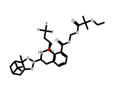 CCOC(C)(C)C(=O)OCOC(=O)c1cccc(CC(NC(=O)CCC(F)(F)F)B2OC3CC4CC(C4(C)C)C3(C)O2)c1OC